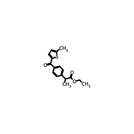 CCOC(=O)C(C)c1ccc(C(=O)c2ccc(C)s2)cc1